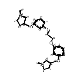 CN1CCC(Oc2cccc(OCCOc3cccc(OC4CCN(C)C4)c3)c2)C1